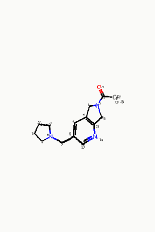 O=C(N1Cc2cc(CN3CCCC3)cnc2C1)C(F)(F)F